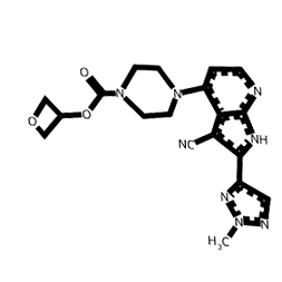 Cn1ncc(-c2[nH]c3nccc(N4CCN(C(=O)OC5COC5)CC4)c3c2C#N)n1